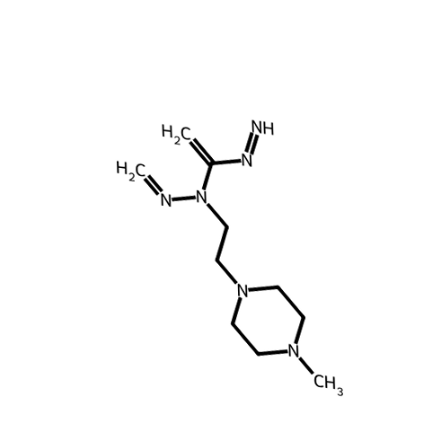 C=NN(CCN1CCN(C)CC1)C(=C)N=N